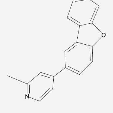 Cc1cc(-c2ccc3oc4ccccc4c3c2)ccn1